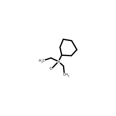 CC[Si](Cl)(CC)C1CCCCC1